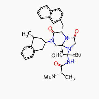 CN[C@@H](C)C(=O)N[C@](C=O)(N1CC(=O)N2[C@@H](Cc3ccc4ccccc4c3)C(=O)N(C3Cc4ccccc4C(C)C3)C[C@@H]21)C(C)(C)C